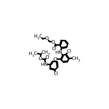 CC(C)OC(=O)Nc1cccc(Cl)c1.CCOCOC(=O)c1ccccc1Nc1c(Cl)ccc(C)c1Cl